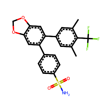 Cc1cc(-c2cc3c(cc2-c2ccc(S(N)(=O)=O)cc2)OCO3)cc(C)c1C(F)(F)F